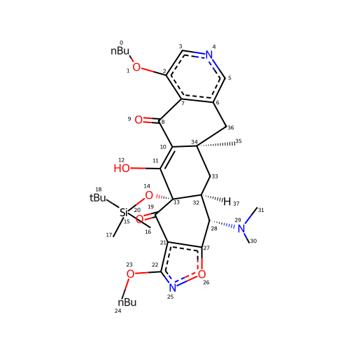 CCCCOc1cncc2c1C(=O)C1=C(O)[C@]3(O[Si](C)(C)C(C)(C)C)C(=O)c4c(OCCCC)noc4[C@@H](N(C)C)[C@@H]3C[C@]1(C)C2